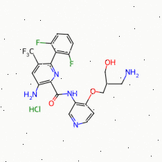 Cl.NCC(CO)COc1ccncc1NC(=O)c1nc(-c2c(F)cccc2F)c(C(F)(F)F)cc1N